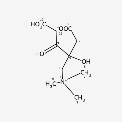 C[N+](C)(C)CC(O)(CC(=O)[O-])C(=O)CC(=O)O